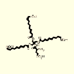 CCCCCCCC/C=C\CCCCCCCC(=O)OCC(COC(=O)CCCCCCC/C=C\CCCCCCCC)(COC(=O)CCCCCCC/C=C\CCCCCCCC)NC(=O)[C@@H](N)CCC(=O)O